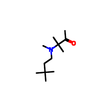 CC(=O)C(C)(C)N(C)CCC(C)(C)C